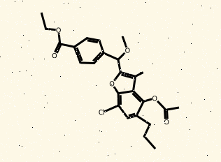 CCCc1cc(Cl)c2oc(C(OC)c3ccc(C(=O)OCC)cc3)c(C)c2c1OC(C)=O